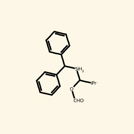 C[C](C)C(O[C]=O)[SiH2]C(c1ccccc1)c1ccccc1